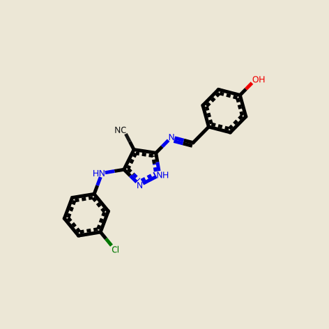 N#Cc1c(Nc2cccc(Cl)c2)n[nH]c1/N=C/c1ccc(O)cc1